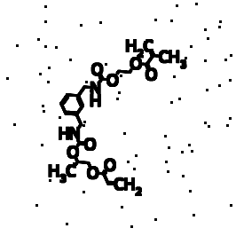 C=CC(=O)OCC(C)OC(=O)NCc1cccc(CNC(=O)OCCOC(=O)C(=C)C)c1